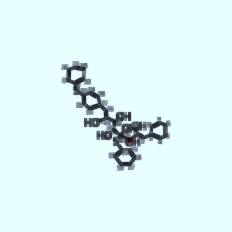 OC(=Cc1ccccc1)[C@@H](O)[C@](O)(Sc1ccccc1)[C@H](O)[C@@H](O)C(O)=Cc1ccc(Sc2ccccc2)cc1